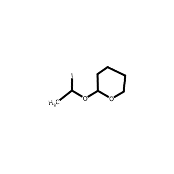 CC(I)OC1CCCCO1